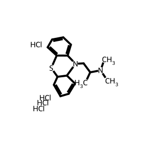 CC(CN1c2ccccc2SC2C=CC=CC21)N(C)C.Cl.Cl.Cl.Cl